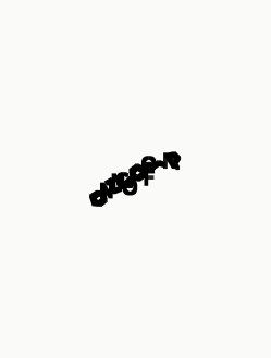 C[C@@H]1CCCN1CCCOc1ccc(C(=O)CN2CCN(c3ccccc3)CC2)cc1F